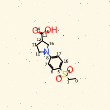 CCS(=O)(=O)c1ccc(N2CCC(C(=O)O)C2)cc1